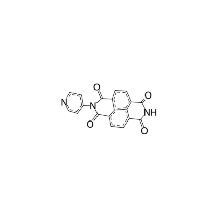 O=C1NC(=O)c2ccc3c4c(ccc1c24)C(=O)N(c1ccncc1)C3=O